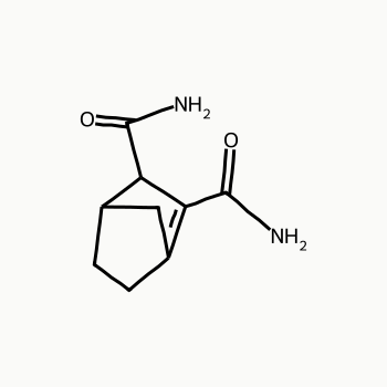 NC(=O)C1=C2CCC(C2)C1C(N)=O